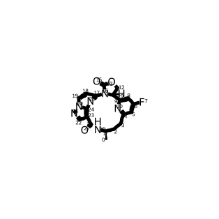 C[C@@H]1CCc2cc(F)cc(n2)[C@H]2COC(=O)N2c2ccn3ncc(c3n2)C(=O)N1